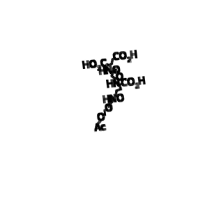 CC(=O)CCOCCOCCNC(=O)CCC(NC(=O)CC(=O)NC(CCC(=O)O)C(=O)O)C(=O)O